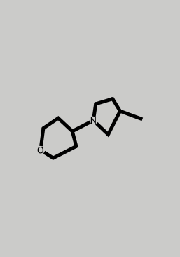 CC1CCN(C2CCOCC2)C1